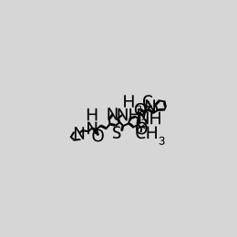 COc1cc(-c2csc3c(C=CC(=O)NCCN4CCCC4)cnc(N)c23)ccc1NC(=O)c1cc2ccccc2n1C